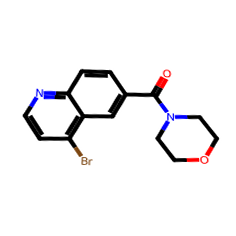 O=C(c1ccc2nccc(Br)c2c1)N1CCOCC1